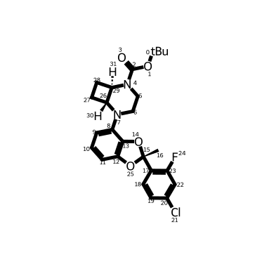 CC(C)(C)OC(=O)N1CCN(c2cccc3c2O[C@](C)(c2ccc(Cl)cc2F)O3)[C@@H]2CC[C@H]21